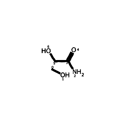 CO.NC(=O)CO